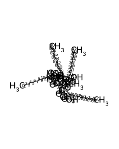 CCCCCCCCCCCCCC(SC(C)C(=O)OCC(COC(=O)C(C)SC(CCCCCCCCCCCCC)C(=O)O)(COC(=O)C(C)SC(CCCCCCCCCCCCC)C(=O)O)COC(=O)C(C)SC(CCCCCCCCCCCCC)C(=O)O)C(=O)O